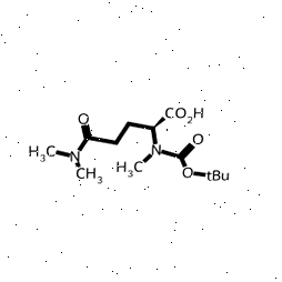 CN(C)C(=O)CC[C@@H](C(=O)O)N(C)C(=O)OC(C)(C)C